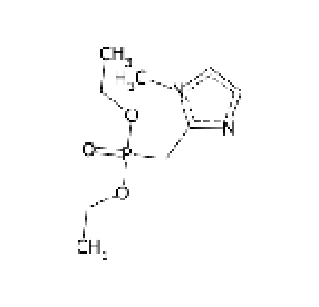 CCOP(=O)(Cc1nccn1C)OCC